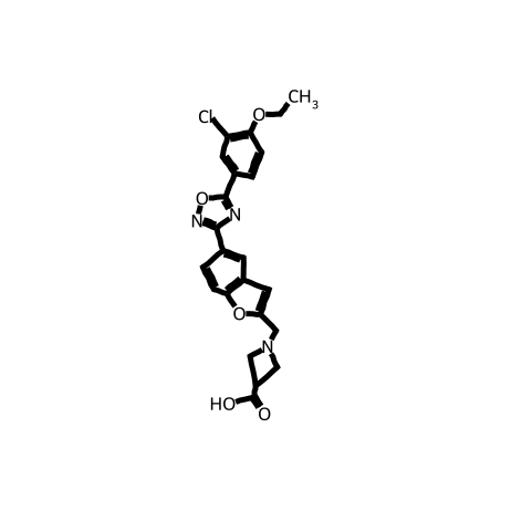 CCOc1ccc(-c2nc(-c3ccc4oc(CN5CC(C(=O)O)C5)cc4c3)no2)cc1Cl